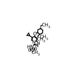 CC[C@H]1CCC(C)(CC)[C@H](Oc2cc3nnc(NS(C)(=O)=O)n3cc2C2CC2)C1